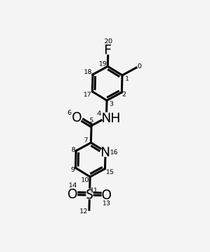 Cc1cc(NC(=O)c2ccc(S(C)(=O)=O)cn2)ccc1F